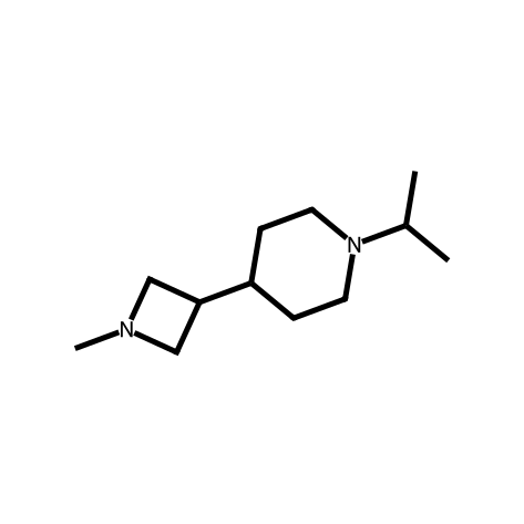 CC(C)N1CCC(C2CN(C)C2)CC1